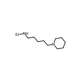 CCNCCCCCN1CCCCC1